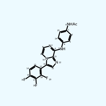 CC(=O)Nc1ccc(Nc2nccn3c(-c4ccc(F)c(F)c4F)cnc23)cc1